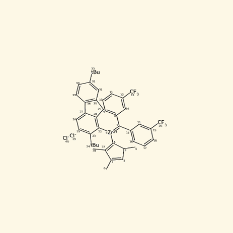 CC1=CC(C)[C]([Zr+2](=[C](c2cccc(C(F)(F)F)c2)c2cccc(C(F)(F)F)c2)[c]2c(C(C)(C)C)ccc3c2Cc2cc(C(C)(C)C)ccc2-3)=C1C.[Cl-].[Cl-]